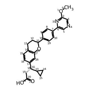 COc1cncc(-c2ccc(C3CCc4ccc([C@@H](CC(=O)O)C5CC5)cc4O3)cc2)n1